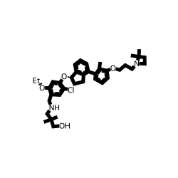 CCOc1cc(O[C@H]2CCc3c(-c4cccc(OCCCN5CCC5(C)C)c4C)cccc32)c(Cl)cc1CNCC(C)(C)CO